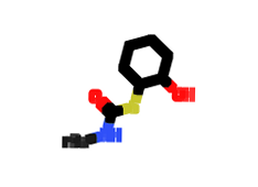 CCCCNC(=O)SC1CCCCC1O